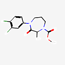 CC(C)(C)OC(=O)N1CCCN(c2ccc(Cl)c(Cl)c2)C(=O)C1C(C)(C)C